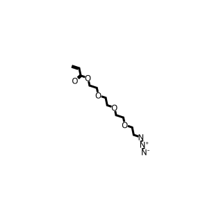 C=CC(=O)OCCOCCOCCOCCN=[N+]=[N-]